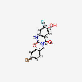 Cn1c(=O)n(Cc2ccc(Br)cc2)c(=O)c2cc(O)c(F)cc21